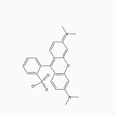 CN(C)c1ccc2c(-c3ccccc3S(=O)(=O)Cl)c3ccc(=[N+](C)C)cc-3oc2c1